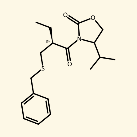 CC[C@H](CSCc1ccccc1)C(=O)N1C(=O)OCC1C(C)C